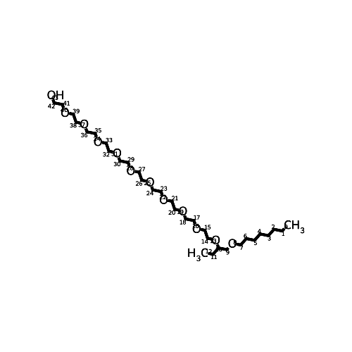 CCCCCCCCOCC(CC)OCCOCCOCCOCCOCCOCCOCCOCCOCCOCCO